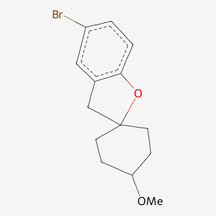 COC1CCC2(CC1)Cc1cc(Br)ccc1O2